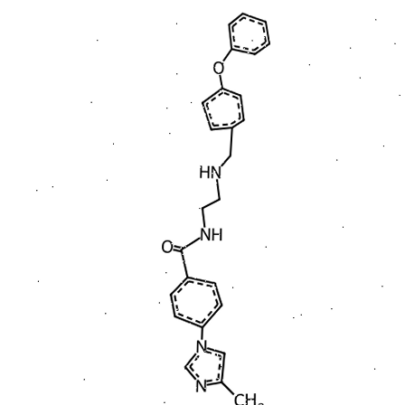 Cc1cn(-c2ccc(C(=O)NCCNCc3ccc(Oc4ccccc4)cc3)cc2)cn1